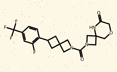 O=C1COCC2(CN(C(=O)N3CC4(CC(c5ccc(C(F)(F)F)cc5F)C4)C3)C2)N1